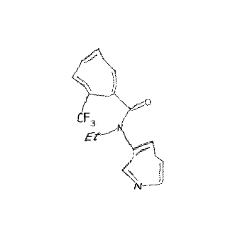 CCN(C(=O)c1ccccc1C(F)(F)F)c1cccnc1